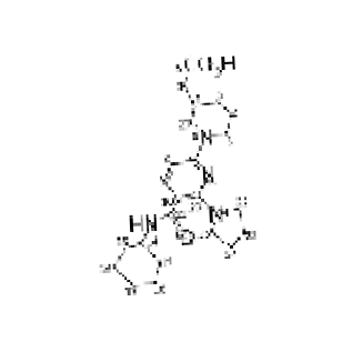 O=C(O)CC1CCCN(c2ccc(C(=O)NC3CCCCC3)c(N3CCCC3)n2)C1